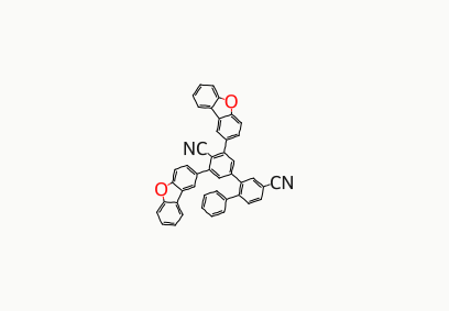 N#Cc1ccc(-c2ccccc2)c(-c2cc(-c3ccc4oc5ccccc5c4c3)c(C#N)c(-c3ccc4oc5ccccc5c4c3)c2)c1